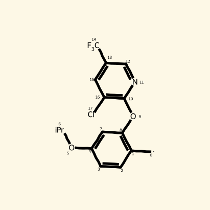 [CH2]c1ccc(OC(C)C)cc1Oc1ncc(C(F)(F)F)cc1Cl